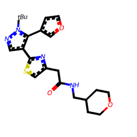 CC(C)(C)n1ncc(-c2nc(CC(=O)NCC3CCOCC3)cs2)c1-c1ccoc1